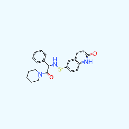 O=C([C@H](NSc1ccc2[nH]c(=O)ccc2c1)c1ccccc1)N1CCCCC1